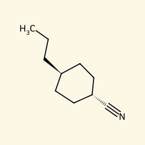 CCC[C@H]1CC[C@H](C#N)CC1